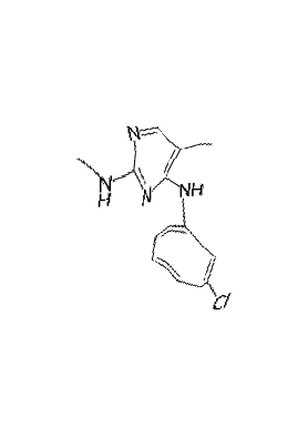 CNc1ncc(C)c(Nc2cccc(Cl)c2)n1